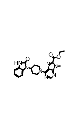 CCOC(=O)c1nc2c(N3CCC(n4c(=O)[nH]c5ccccc54)CC3)ncnc2n1C